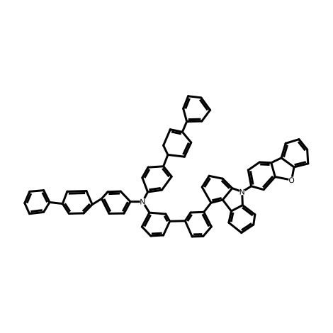 C1=CC(c2ccc(N(c3ccc(-c4ccc(-c5ccccc5)cc4)cc3)c3cccc(-c4cccc(-c5cccc6c5c5ccccc5n6-c5ccc6c(c5)oc5ccccc56)c4)c3)cc2)CC=C1c1ccccc1